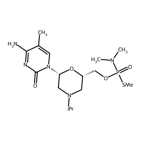 CSP(=O)(OC[C@@H]1CN(C(C)C)C[C@H](n2cc(C)c(N)nc2=O)O1)N(C)C